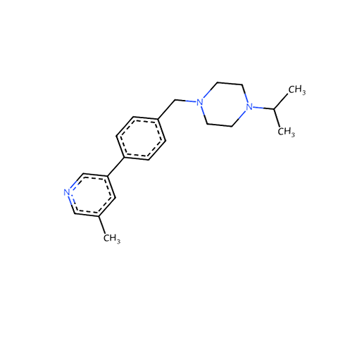 Cc1cncc(-c2ccc(CN3CCN(C(C)C)CC3)cc2)c1